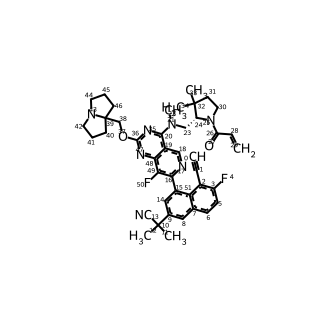 C#Cc1c(F)ccc2cc(C(C)(C)C#N)cc(-c3ncc4c(N(C)C[C@H]5N(C(=O)C=C)CCC5(C)C)nc(OCC56CCCN5CCC6)nc4c3F)c12